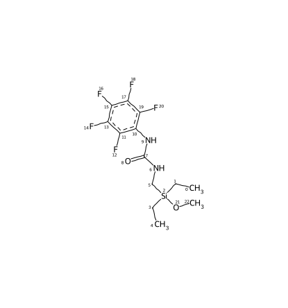 CC[Si](CC)(CNC(=O)Nc1c(F)c(F)c(F)c(F)c1F)OC